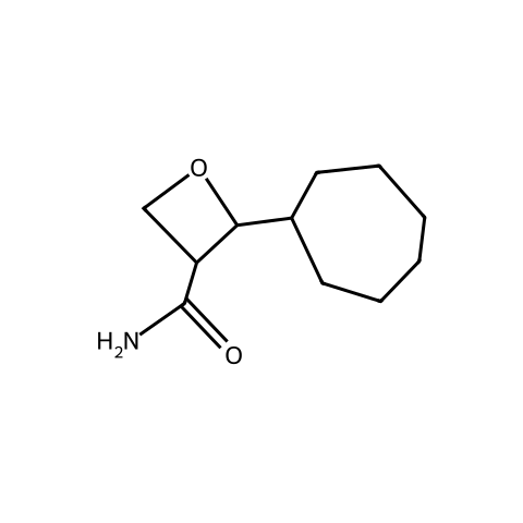 NC(=O)C1COC1C1CCCCCC1